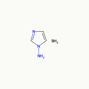 B.Nn1ccnc1